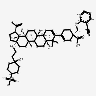 C=C(C)[C@@H]1CC[C@]2(NCCC3(O)CCC(S(C)(=O)=O)CC3)CC[C@]3(C)[C@H](CC[C@@H]4[C@@]5(C)CC=C(C6=CC[C@](COc7ncccc7C#N)(C(=O)O)CC6)C(C)(C)[C@@H]5CC[C@]43C)[C@@H]12